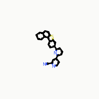 N#Cc1cc(-c2cccc(-c3ccc4c(c3)sc3ccc5ccccc5c34)n2)ccn1